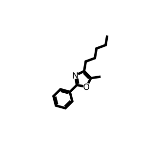 CCCCCc1nc(-c2ccccc2)oc1C